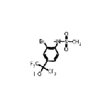 CS(=O)(=O)Nc1ccc(C(O)(C(F)(F)F)C(F)(F)F)cc1Br